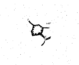 C[SiH](C)c1ccc(F)cc1F.F